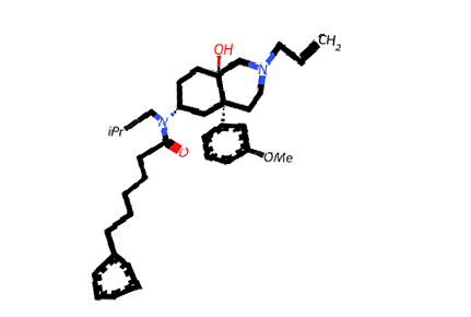 C=CCN1CC[C@@]2(c3cccc(OC)c3)C[C@H](N(CC(C)C)C(=O)CCCCCc3ccccc3)CC[C@]2(O)C1